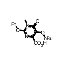 CCCCOc1c(C(=O)O)nc(OCC)n(C)c1=O